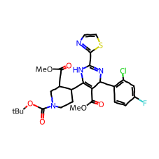 COC(=O)C1=C(C2CCN(C(=O)OC(C)(C)C)CC2C(=O)OC)NC(c2nccs2)=NC1c1ccc(F)cc1Cl